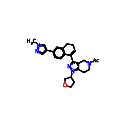 CC(=O)N1CCc2c(c(C3=CCCc4cc(-c5cnn(C)c5)ccc43)nn2[C@H]2CCOC2)C1